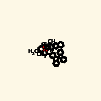 CC(C)c1cc2c(cc1N(c1ccccc1)c1cc3c(cc1-c1ccc4c(c1)C(C)(C)CCC4(C)C)-c1ccccc1C3(c1ccccc1)c1ccccc1)CCCC2